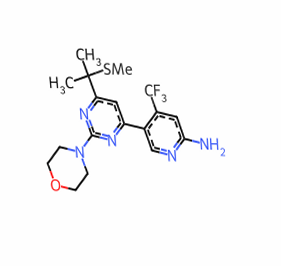 CSC(C)(C)c1cc(-c2cnc(N)cc2C(F)(F)F)nc(N2CCOCC2)n1